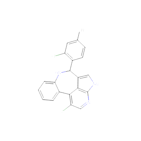 Cc1ccc(C2Nc3ccccc3-c3c(Cl)cnc4[nH]cc2c34)c(Cl)c1